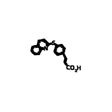 O=C(O)C=Cc1ccc(Sc2ccc3ccccc3n2)cc1